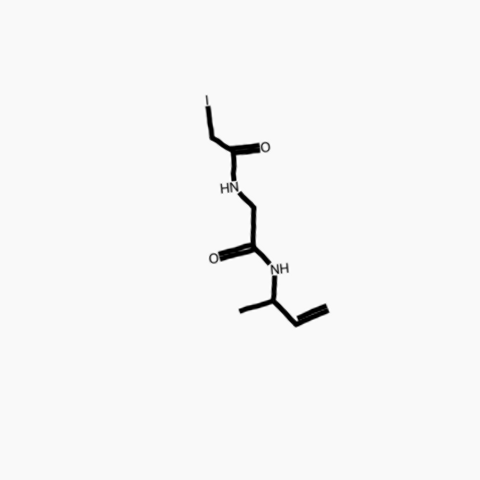 C=CC(C)NC(=O)CNC(=O)CI